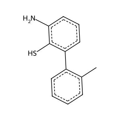 Cc1ccccc1-c1cccc(N)c1S